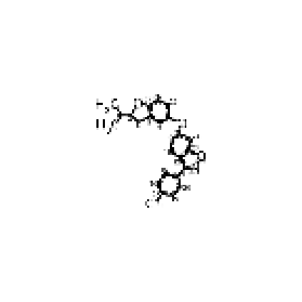 CC(C)C1Cc2cc(Oc3ccc4c(-c5ccc(Cl)cc5)noc4c3)ccc2O1